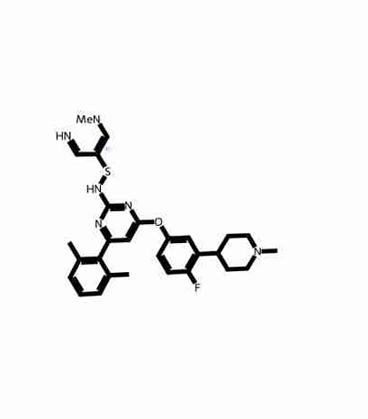 CN/C=C(\C=N)SNc1nc(Oc2ccc(F)c(C3CCN(C)CC3)c2)cc(-c2c(C)cccc2C)n1